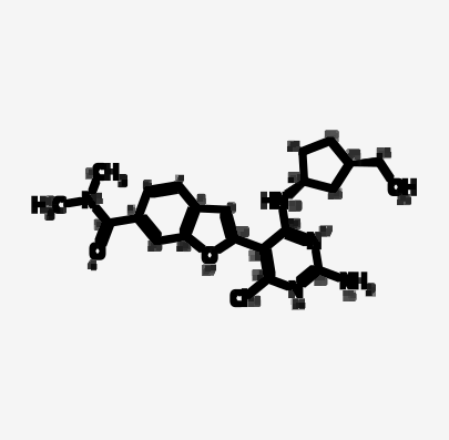 CN(C)C(=O)c1ccc2cc(-c3c(Cl)nc(N)nc3N[C@H]3CC[C@@H](CO)C3)oc2c1